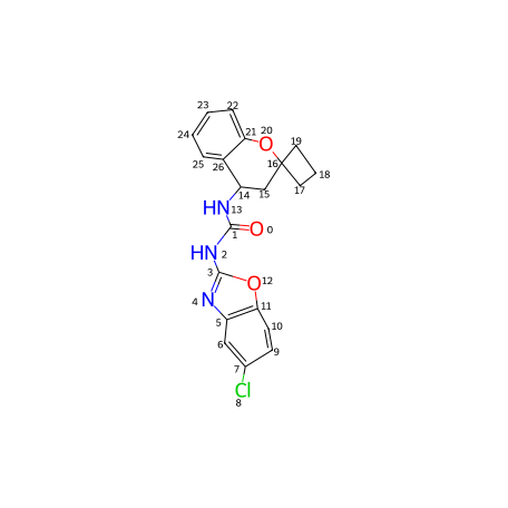 O=C(Nc1nc2cc(Cl)ccc2o1)NC1CC2(CCC2)Oc2ccccc21